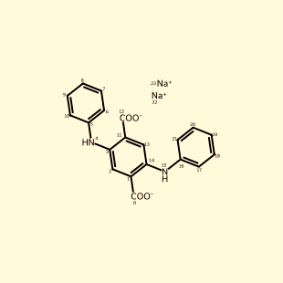 O=C([O-])c1cc(Nc2ccccc2)c(C(=O)[O-])cc1Nc1ccccc1.[Na+].[Na+]